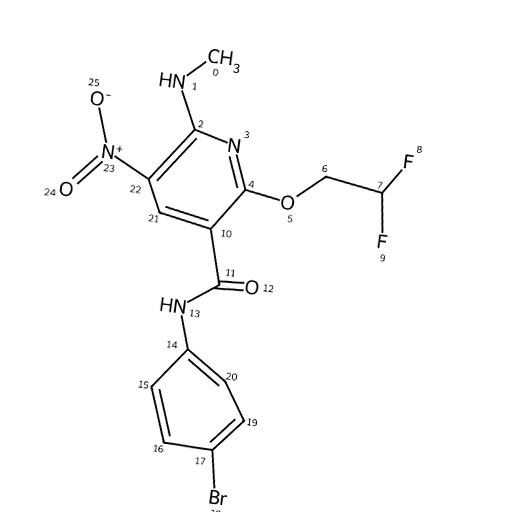 CNc1nc(OCC(F)F)c(C(=O)Nc2ccc(Br)cc2)cc1[N+](=O)[O-]